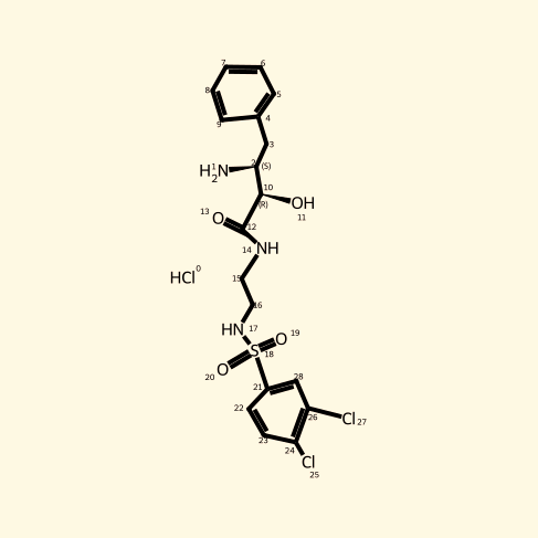 Cl.N[C@@H](Cc1ccccc1)[C@@H](O)C(=O)NCCNS(=O)(=O)c1ccc(Cl)c(Cl)c1